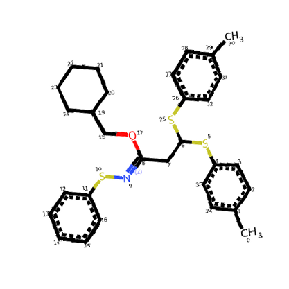 Cc1ccc(SC(C/C(=N/Sc2ccccc2)OCC2CCCCC2)Sc2ccc(C)cc2)cc1